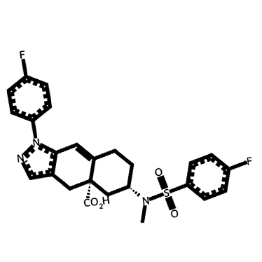 CN([C@H]1CCC2=Cc3c(cnn3-c3ccc(F)cc3)C[C@]2(C(=O)O)C1)S(=O)(=O)c1ccc(F)cc1